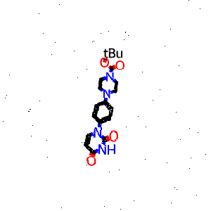 CC(C)(C)OC(=O)N1CCN(c2ccc(-n3ccc(=O)[nH]c3=O)cc2)CC1